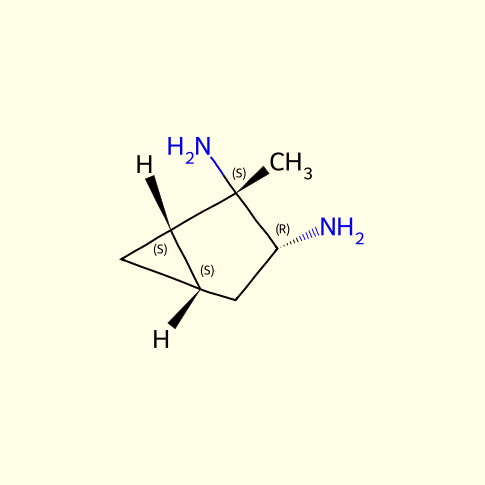 C[C@@]1(N)[C@H](N)C[C@@H]2C[C@@H]21